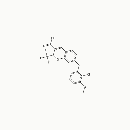 COc1cccc(Cc2ccc3c(c2)OC(C(F)(F)F)C(C(=O)O)=C3)c1Cl